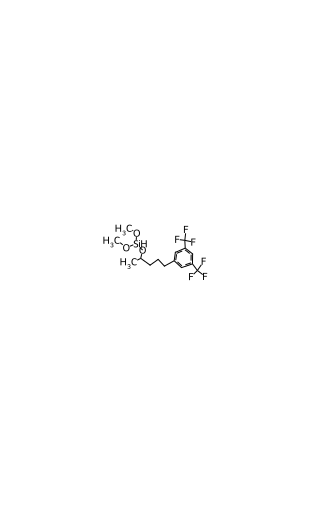 CO[SiH](OC)OC(C)CCCc1cc(C(F)(F)F)cc(C(F)(F)F)c1